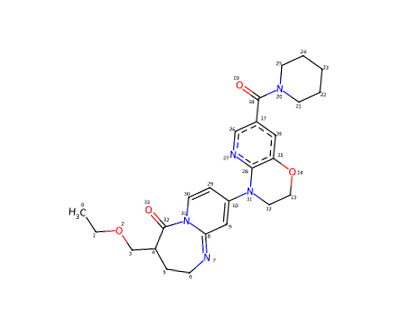 CCOCC1CCN=C2C=C(N3CCOc4cc(C(=O)N5CCCCC5)cnc43)C=CN2C1=O